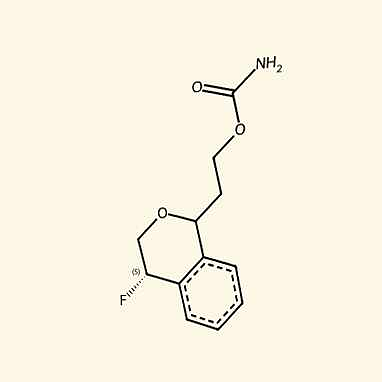 NC(=O)OCCC1OC[C@@H](F)c2ccccc21